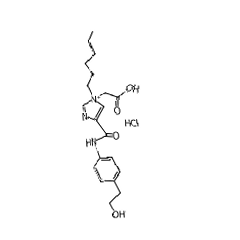 CCCCCC[N+]1(CC(=O)O)C=NC(C(=O)Nc2ccc(CCO)cc2)=C1.Cl